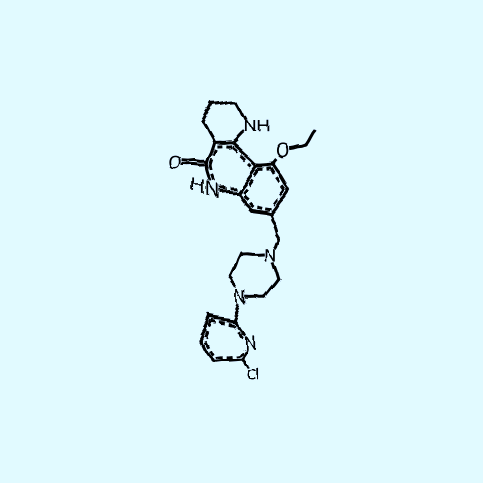 CCOc1cc(CN2CCN(c3cccc(Cl)n3)CC2)cc2[nH]c(=O)c3c(c12)NCCC3